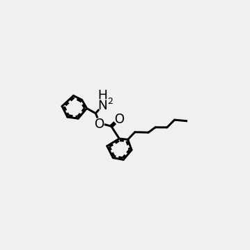 CCCCCCc1ccccc1C(=O)OC(N)c1ccccc1